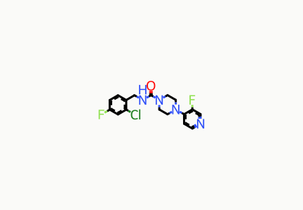 O=C(NCc1ccc(F)cc1Cl)N1CCN(c2ccncc2F)CC1